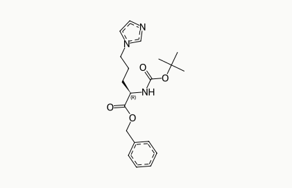 CC(C)(C)OC(=O)N[C@H](CCCn1ccnc1)C(=O)OCc1ccccc1